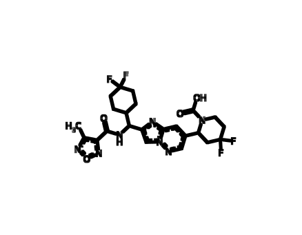 Cc1nonc1C(=O)NC(c1cn2ncc(C3CC(F)(F)CCN3C(=O)O)cc2n1)C1CCC(F)(F)CC1